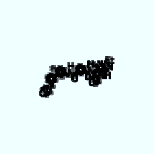 CCc1nc2c(cnn2CC)c(NC2CCOCC2)c1CNC(=O)c1cccc(C(=O)NCc2ccc(F)c(-c3cccc(CN4CCOCC4)c3)c2)c1